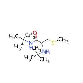 CSCC(NC(C)(C)C)C(=O)NC(C)(C)C